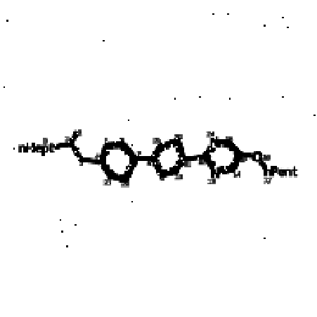 CCCCCCCC(C)Cc1ccc(-c2ccc(-c3ncc(OCCCCC)cn3)cc2)cc1